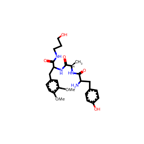 COc1ccc(CC(NC(=O)[C@@H](C)NC(=O)C(N)Cc2ccc(O)cc2)C(=O)NCCCO)cc1OC